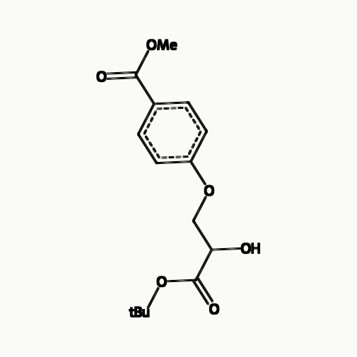 COC(=O)c1ccc(OCC(O)C(=O)OC(C)(C)C)cc1